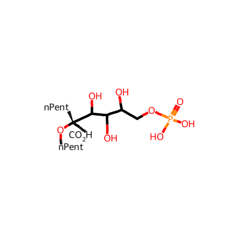 CCCCCO[C@@](CCCCC)(C(=O)O)C(O)C(O)C(O)COP(=O)(O)O